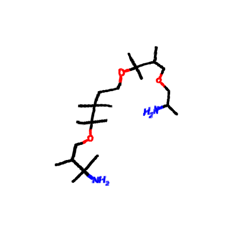 CC(N)COCC(C)C(C)(C)OCCC(C)(C)C(C)(C)OCC(C)C(C)(C)N